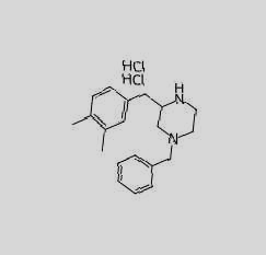 Cc1ccc(CC2CN(Cc3ccccc3)CCN2)cc1C.Cl.Cl